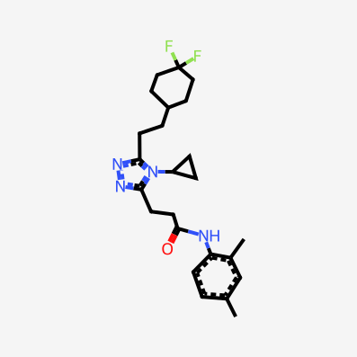 Cc1ccc(NC(=O)CCc2nnc(CCC3CCC(F)(F)CC3)n2C2CC2)c(C)c1